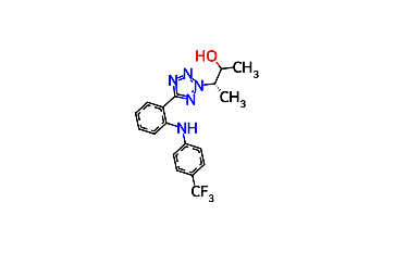 CC(O)[C@H](C)n1nnc(-c2ccccc2Nc2ccc(C(F)(F)F)cc2)n1